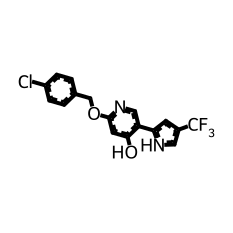 Oc1cc(OCc2ccc(Cl)cc2)ncc1-c1cc(C(F)(F)F)c[nH]1